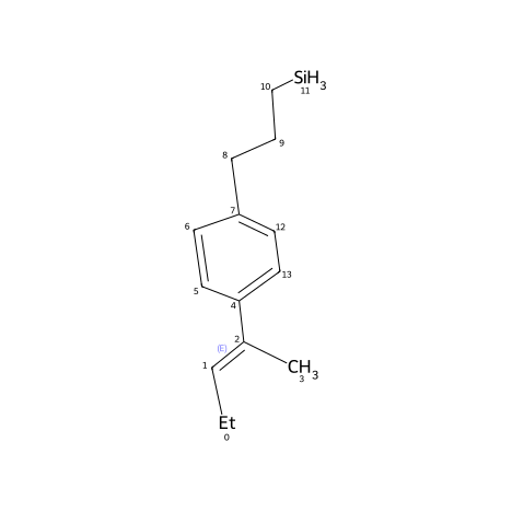 CC/C=C(\C)c1ccc(CCC[SiH3])cc1